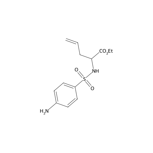 C=CCC(NS(=O)(=O)c1ccc(N)cc1)C(=O)OCC